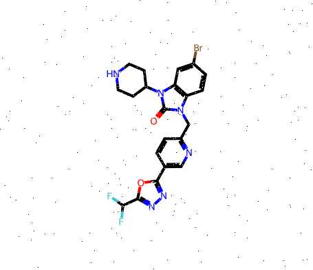 O=c1n(Cc2ccc(-c3nnc(C(F)F)o3)cn2)c2ccc(Br)cc2n1C1CCNCC1